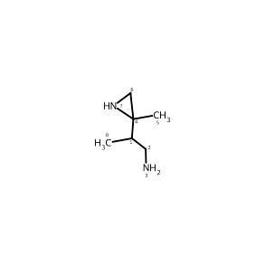 CC(CN)C1(C)CN1